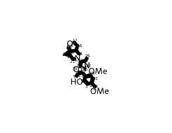 COCc1cc(O)c(-c2c(C)oc3c(N(CC4CCOCC4)CC4CC4)c(C)nn23)c(OC)c1